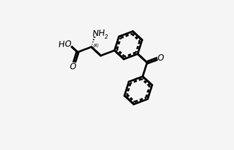 N[C@H](Cc1cccc(C(=O)c2ccccc2)c1)C(=O)O